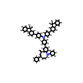 C=C1/C=C(c2ccccc2)\C=C/CN(c2ccccc2)c2ccc(-c3ccc(N(c4ccc(-c5ccc6c(c5)C(C)(C)c5ccccc5-6)cc4)c4ccc(-c5ccc6c(c5)C(C)(C)c5ccccc5-6)cc4)cc3)cc21